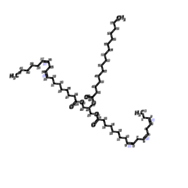 CC/C=C\C/C=C\C/C=C\CCCCCCCC(=O)OCC(COC(=O)CCCCCCC/C=C\C/C=C\CCCCC)OC(=O)CCCCCCCCCCCCCCC